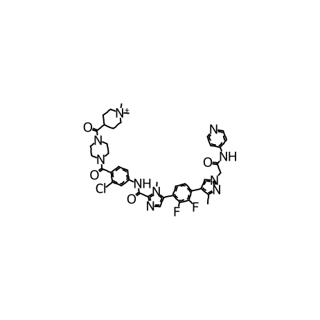 Cc1nn(CC(=O)Nc2ccncc2)cc1-c1ccc(-c2cnc(C(=O)Nc3ccc(C(=O)N4CCN(C(=O)C5CC[N+](C)(C)CC5)CC4)c(Cl)c3)n2C)c(F)c1F